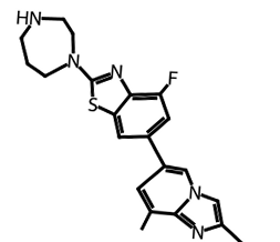 Cc1cn2cc(-c3cc(F)c4nc(N5CCCNCC5)sc4c3)cc(C)c2n1